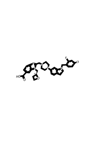 O=C(O)c1ccc2nc(CN3CCN(c4ccc5ccn(Cc6ccc(Cl)cc6F)c5c4)CC3)n(C[C@@H]3CCO3)c2c1